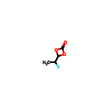 CC(F)C1OC(=O)O1